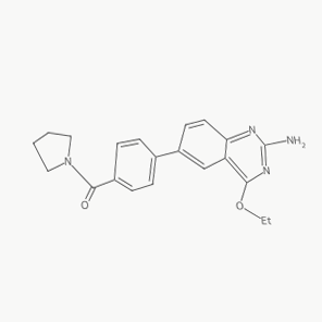 CCOc1nc(N)nc2ccc(-c3ccc(C(=O)N4CCCC4)cc3)cc12